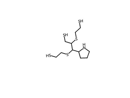 SCCSC(CS)C(SCCS)C1CCCN1